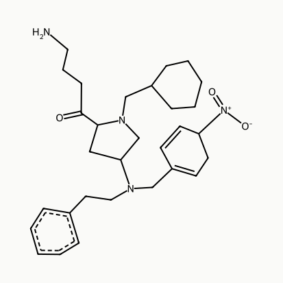 NCCCC(=O)C1CC(N(CCc2ccccc2)CC2=CCC([N+](=O)[O-])C=C2)CN1CC1CCCCC1